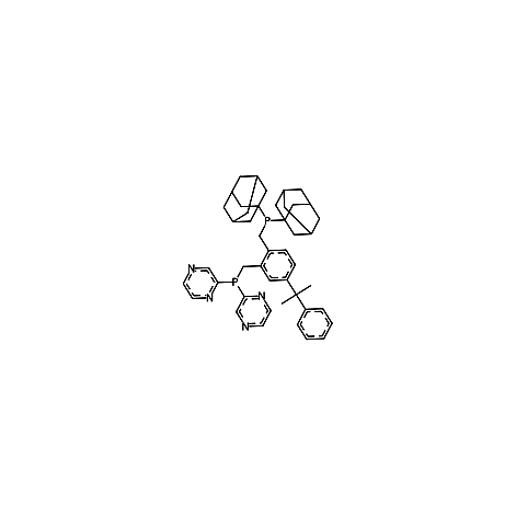 CC(C)(c1ccccc1)c1ccc(CP(C23CC4CC(CC(C4)C2)C3)C23CC4CC(CC(C4)C2)C3)c(CP(c2cnccn2)c2cnccn2)c1